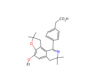 CCOc1cc2c(c3c1OC(C)(C)C3)C(c1ccc(CC(=O)O)cc1)=NC(C)(C)C2